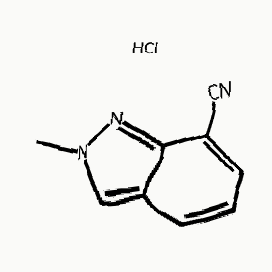 Cl.Cn1cc2cccc(C#N)c2n1